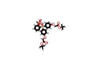 CC(C)(C)OC(=O)COc1ccc(S(OS(C)(=O)=O)(c2ccccc2)c2ccc(OCC(=O)OC(C)(C)C)cc2)cc1